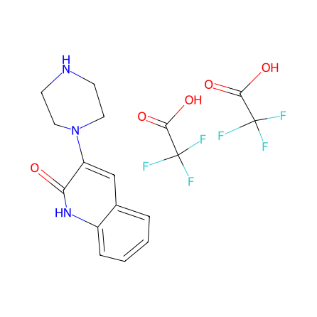 O=C(O)C(F)(F)F.O=C(O)C(F)(F)F.O=c1[nH]c2ccccc2cc1N1CCNCC1